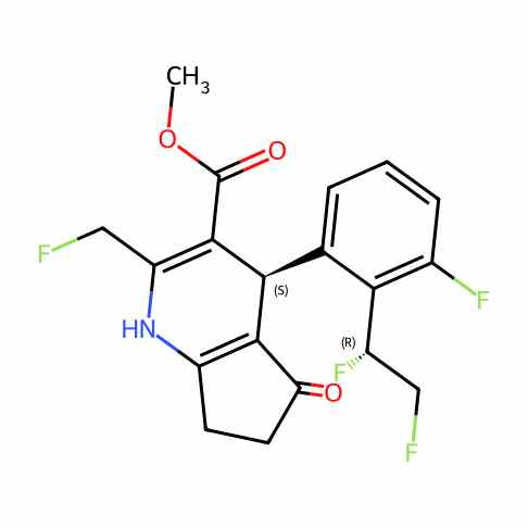 COC(=O)C1=C(CF)NC2=C(C(=O)CC2)[C@@H]1c1cccc(F)c1[C@@H](F)CF